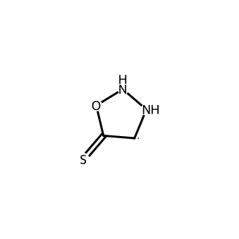 S=C1[CH]NNO1